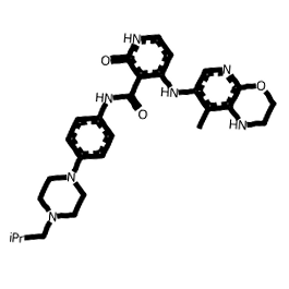 Cc1c(Nc2cc[nH]c(=O)c2C(=O)Nc2ccc(N3CCN(CC(C)C)CC3)cc2)cnc2c1NCCO2